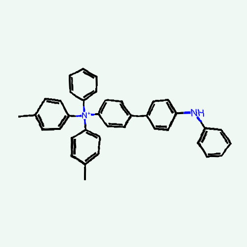 Cc1ccc([N+](c2ccccc2)(c2ccc(C)cc2)c2ccc(-c3ccc(Nc4ccccc4)cc3)cc2)cc1